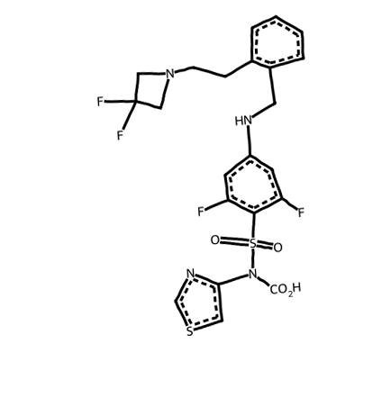 O=C(O)N(c1cscn1)S(=O)(=O)c1c(F)cc(NCc2ccccc2CCN2CC(F)(F)C2)cc1F